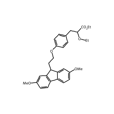 CCOC(=O)C(Cc1ccc(OCCC2c3cc(OC)ccc3-c3ccc(OC)cc32)cc1)OCC